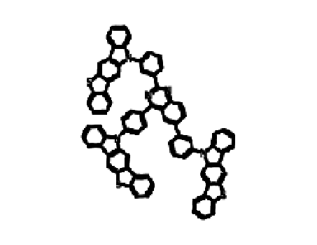 c1cc(-c2ccc3nc(-c4cccc(-n5c6ccccc6c6cc7sc8ccccc8c7cc65)c4)nc(-c4ccc(-n5c6ccccc6c6cc7sc8ccccc8c7cc65)cc4)c3c2)cc(-n2c3ccccc3c3cc4sc5ccccc5c4cc32)c1